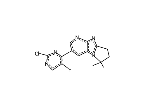 CC1(C)CCc2nc3ncc(-c4nc(Cl)ncc4F)cc3n21